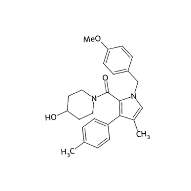 COc1ccc(Cn2cc(C)c(-c3ccc(C)cc3)c2C(=O)N2CCC(O)CC2)cc1